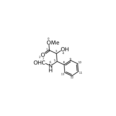 COC(=O)C(O)C(NC=O)c1ccccc1